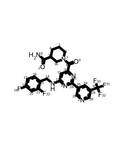 NC(=O)C1CCCN(C(=O)c2cc(NCc3ccc(F)cc3F)nc(-c3cncc(C(F)(F)F)c3)n2)C1